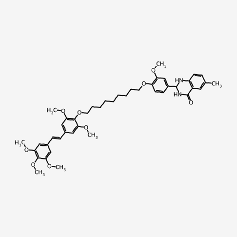 COc1cc(C2NC(=O)c3cc(C)ccc3N2)ccc1OCCCCCCCCCOc1c(OC)cc(/C=C/c2cc(OC)c(OC)c(OC)c2)cc1OC